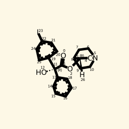 O=C(O[C@H]1CN2CCC1CC2)[C@@](O)(c1ccccc1)c1ccc(I)cc1